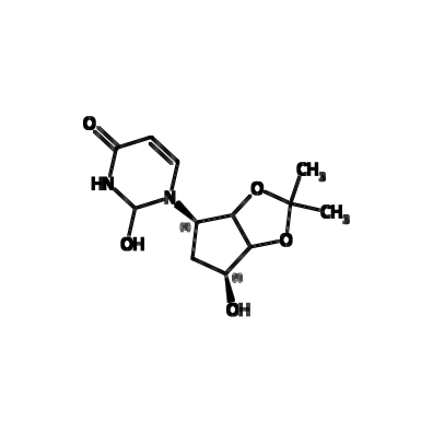 CC1(C)OC2C(O1)[C@@H](O)C[C@H]2N1C=CC(=O)NC1O